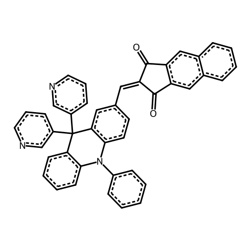 O=C1C(=Cc2ccc3c(c2)C(c2cccnc2)(c2cccnc2)c2ccccc2N3c2ccccc2)C(=O)c2cc3ccccc3cc21